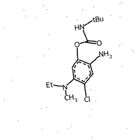 CCN(C)c1cc(OC(=O)NC(C)(C)C)c(N)cc1Cl